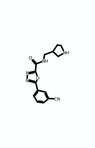 N#Cc1cccc(-c2nnc(C(=O)NCC3CCNC3)o2)c1